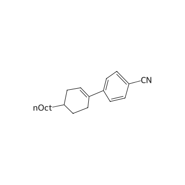 CCCCCCCCC1CC=C(c2ccc(C#N)cc2)CC1